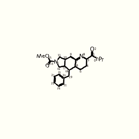 CCCC(=O)C1CCC2C(=N1)CC1CN(C(=O)OC)CC1C2Cc1ccccc1